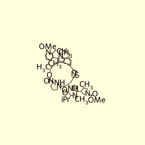 COC(=O)N1C[C@H](C)[C@H](C(=O)N(C)[C@H](C(=O)N[C@H]2Cc3nc(cs3)-c3ccc4c(c3)c(c(-c3cccnc3[C@H](C)OC)n4C)CC(C)(C)COC(=O)[C@@H]3CCCN(N3)C2=O)C(C)C)C1